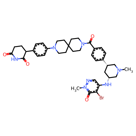 CN1C[C@H](Nc2cnn(C)c(=O)c2Br)C[C@H](c2ccc(C(=O)N3CCC4(CC3)CCN(c3ccc(C5CCC(=O)NC5=O)cc3)CC4)cc2)C1